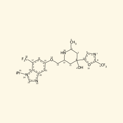 CC1CC(O)(c2cnc(C(F)(F)F)o2)CC(COc2cc(C(F)(F)F)c3c(c2)ncn3C(C)C)N1